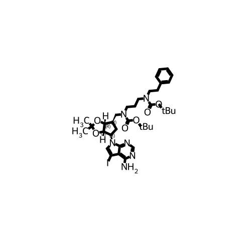 CC(C)(C)OC(=O)N(CCCN(C[C@H]1C[C@@H](n2cc(I)c3c(N)ncnc32)[C@@H]2OC(C)(C)O[C@H]12)C(=O)OC(C)(C)C)CCc1ccccc1